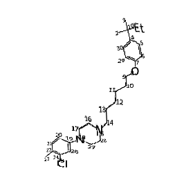 CCC(C)(C)c1ccc(OCCCCCCN2CCN(c3ccc(C)c(Cl)c3)CC2)cc1